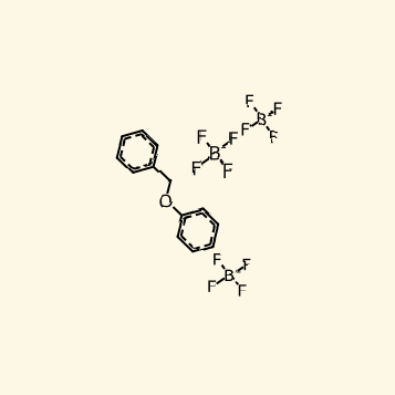 F[B-](F)(F)F.F[B-](F)(F)F.F[B-](F)(F)F.c1ccc(COc2ccccc2)cc1